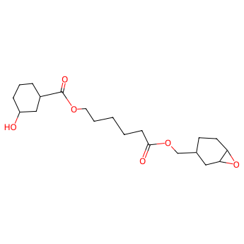 O=C(CCCCCOC(=O)C1CCCC(O)C1)OCC1CCC2OC2C1